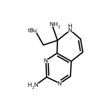 CC(C)(C)CC1(N)NC=Cc2cnc(N)nc21